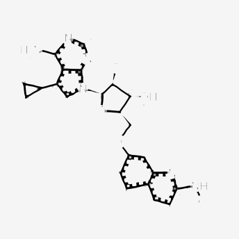 CNc1ccc2ccc(OC[C@H]3O[C@@H](n4cc(C5CC5)c5c(N)ncnc54)[C@@H](F)[C@@H]3O)cc2n1